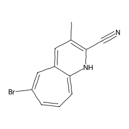 CC1=C(C#N)NC2=CC=CC(Br)=CC2=C1